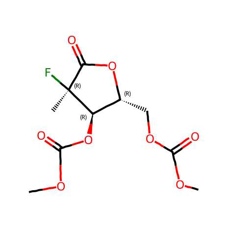 COC(=O)OC[C@H]1OC(=O)[C@](C)(F)[C@@H]1OC(=O)OC